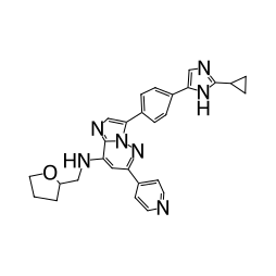 c1cc(-c2cc(NCC3CCCO3)c3ncc(-c4ccc(-c5cnc(C6CC6)[nH]5)cc4)n3n2)ccn1